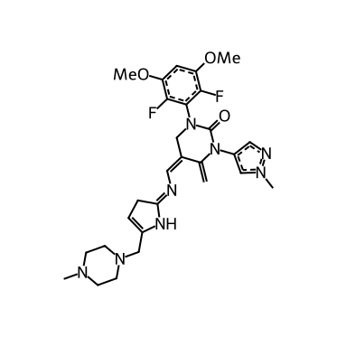 C=C1/C(=C\N=C2/CC=C(CN3CCN(C)CC3)N2)CN(c2c(F)c(OC)cc(OC)c2F)C(=O)N1c1cnn(C)c1